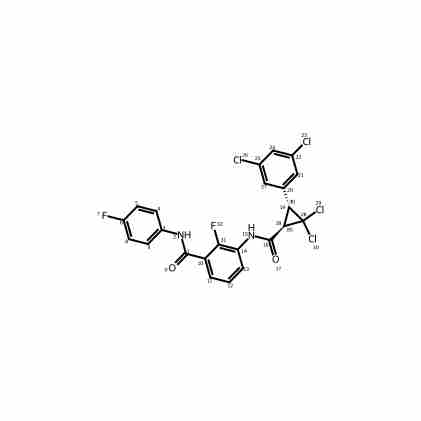 O=C(Nc1ccc(F)cc1)c1cccc(NC(=O)[C@H]2[C@H](c3cc(Cl)cc(Cl)c3)C2(Cl)Cl)c1F